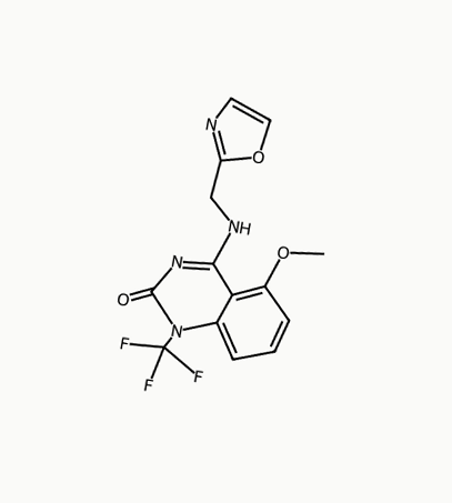 COc1cccc2c1c(NCc1ncco1)nc(=O)n2C(F)(F)F